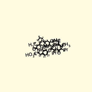 CC[C@H](C)[C@@H]([C@@H](CC(=O)N1CCC[C@H]1[C@H](OC)[C@@H](C)C(=O)N[C@@H](Cc1ccccc1)C(=O)O)OC)N(C)C(=O)[C@@H](NC(=O)[C@H](C(C)C)N(C)CCC(C)C)C(C)C